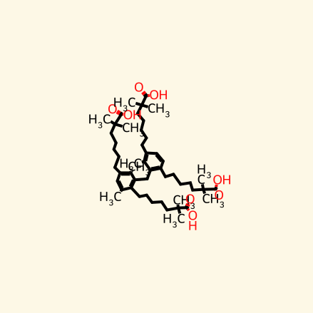 Cc1cc(CCCCCC(C)(C)C(=O)O)c(C)c(Cc2c(CCCCCC(C)(C)C(=O)O)ccc(CCCCCC(C)(C)C(=O)O)c2C)c1CCCCCC(C)(C)C(=O)O